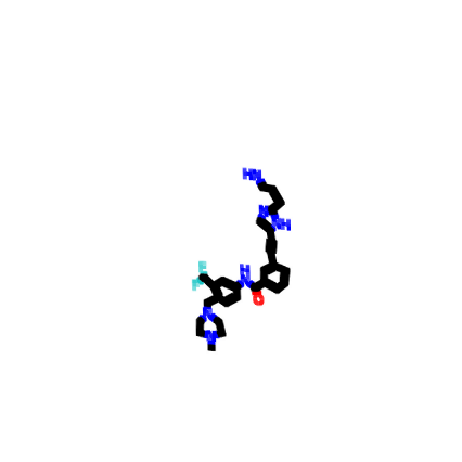 CN1CCN(Cc2ccc(NC(=O)c3cccc(C#Cc4cnc(/C=C\C=N)[nH]4)c3)cc2C(F)F)CC1